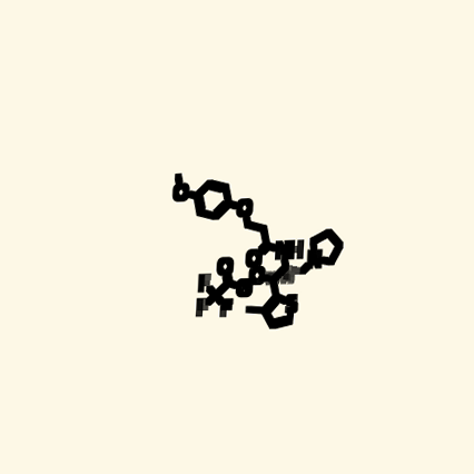 COc1ccc(OCCC(=O)N[C@H](CN2CCCC2)[C@H](OOC(=O)C(F)(F)F)c2sccc2C)cc1